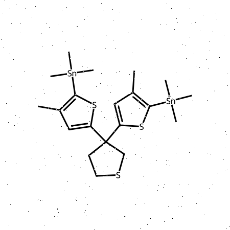 Cc1cc(C2(c3cc(C)[c]([Sn]([CH3])([CH3])[CH3])s3)CCSC2)s[c]1[Sn]([CH3])([CH3])[CH3]